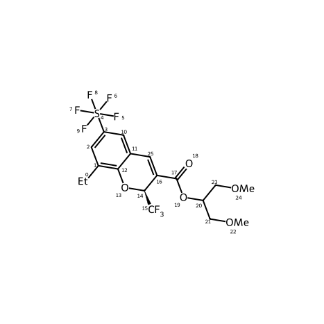 CCc1cc(S(F)(F)(F)(F)F)cc2c1O[C@H](C(F)(F)F)C(C(=O)OC(COC)COC)=C2